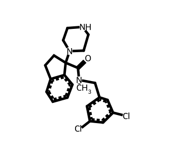 CN(Cc1cc(Cl)cc(Cl)c1)C(=O)C1(N2CCNCC2)CCc2ccccc21